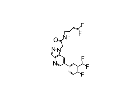 O=C(Cn1ncc2ncc(-c3ccc(F)c(C(F)F)c3)cc21)N1CC(C=C(F)F)C1